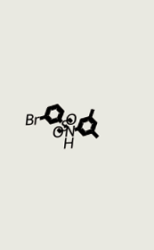 Cc1cc(C)cc(NS(=O)(=O)c2cccc(Br)c2)c1